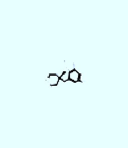 Cl.N#CC1(Cc2cc(F)cc(F)c2)CCNCC1